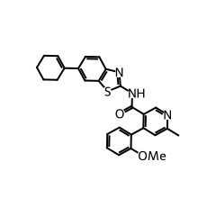 COc1ccccc1-c1cc(C)ncc1C(=O)Nc1nc2ccc(C3=CCCCC3)cc2s1